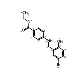 CCOC(=O)c1ccc(NCc2cc(Br)ccc2O)cc1